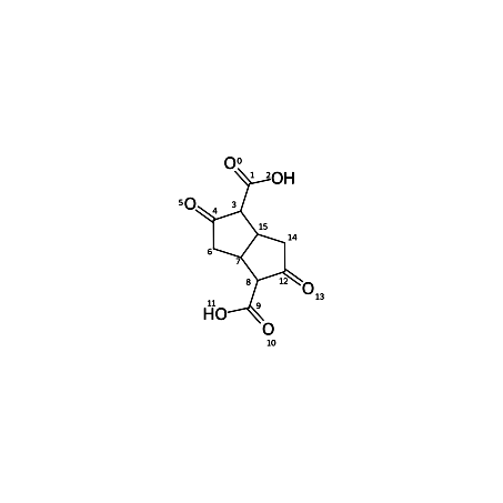 O=C(O)C1C(=O)CC2C(C(=O)O)C(=O)CC12